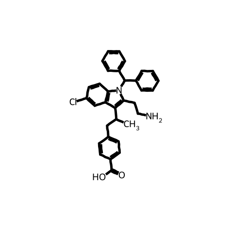 CC(Cc1ccc(C(=O)O)cc1)c1c(CCN)n(C(c2ccccc2)c2ccccc2)c2ccc(Cl)cc12